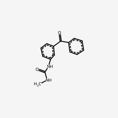 CNC(=O)Nc1cccc(C(=O)c2ccccc2)c1